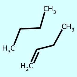 C=CCC.CCCC